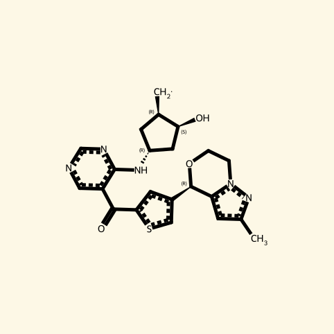 [CH2][C@@H]1C[C@@H](Nc2ncncc2C(=O)c2cc([C@H]3OCCn4nc(C)cc43)cs2)C[C@@H]1O